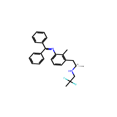 Cc1c(C[C@H](C)NCC(C)(F)F)cccc1N=C(c1ccccc1)c1ccccc1